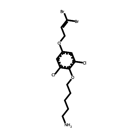 NCCCCCOc1c(Cl)cc(OCC=C(Br)Br)cc1Cl